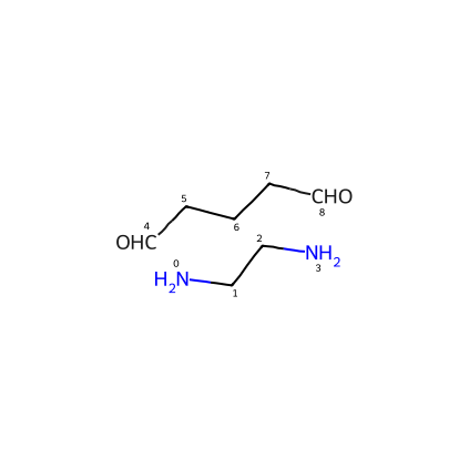 NCCN.O=CCCCC=O